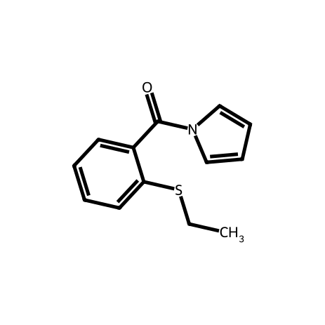 CCSc1ccccc1C(=O)n1cccc1